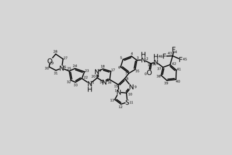 O=C(Nc1cccc(-c2nc3sccn3c2-c2ccnc(Nc3ccc(N4CCOCC4)cc3)n2)c1)Nc1ccccc1C(F)(F)F